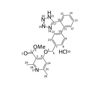 COC(=O)c1c(OCc2ccc(-c3ccccc3-c3nnn[nH]3)cc2)cc(C)nc1C.Cl